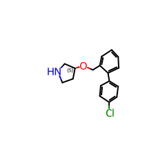 Clc1ccc(-c2ccccc2CO[C@H]2CCNC2)cc1